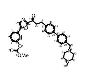 COC(=O)Oc1cccc(-c2cnc(C(=O)CCc3ccc(-c4ccc(CN5CCN(C)CC5)cc4)cc3)o2)n1